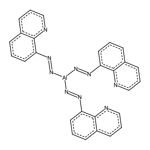 c1cnc2c(/N=[N]/[Al](/[N]=N/c3cccc4cccnc34)/[N]=N/c3cccc4cccnc34)cccc2c1